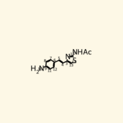 CC(=O)Nc1nc(C=Cc2ccc(N)cc2)cs1